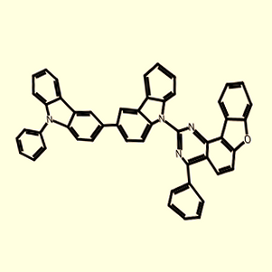 c1ccc(-c2nc(-n3c4ccccc4c4cc(-c5ccc6c(c5)c5ccccc5n6-c5ccccc5)ccc43)nc3c2ccc2oc4ccccc4c23)cc1